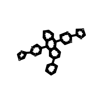 c1ccc(-c2ccc3c(-c4cnc(-c5cocn5)nc4)c4ccccc4c(-c4cnc(-c5cocn5)nc4)c3c2)cc1